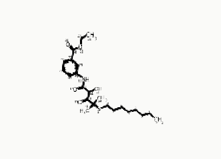 CCCCCCCCSC(C)(C)C(=O)C(O)C(=O)Nc1cccc(C(=O)OCC)c1